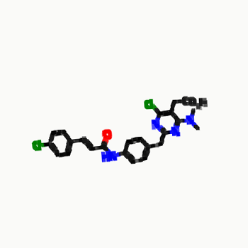 CN(C)c1nc(Cc2ccc(NC(=O)C=Cc3ccc(Cl)cc3)cc2)nc(Cl)c1CC(=O)O